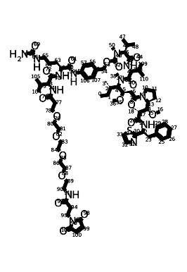 CC[C@H](C)C([C@@H](CC(=O)N1CCC[C@H]1[C@H](OC)[C@@H](C)C(=O)N[C@@H](Cc1ccccc1)c1nccs1)OC)N(C)C(=O)[C@@H](NC(=O)[C@H](C(C)C)N(C)C(=O)OCc1ccc(NC(=O)[C@H](CCCNC(N)=O)NC(=O)[C@@H](NC(=O)CCOCCOCCOCCOCCNC(=O)CCN2C(=O)C=CC2=O)C(C)C)cc1)C(C)C